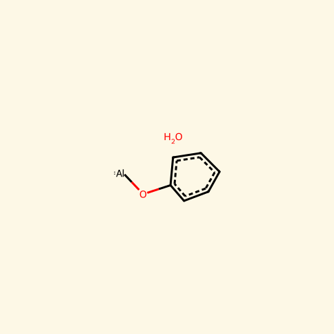 O.[Al][O]c1ccccc1